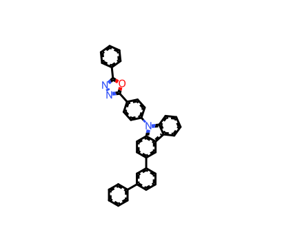 c1ccc(-c2cccc(-c3ccc4c(c3)c3ccccc3n4-c3ccc(-c4nnc(-c5ccccc5)o4)cc3)c2)cc1